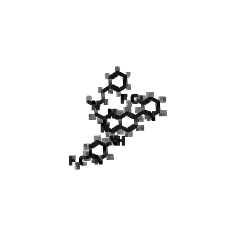 CN(CCc1ccccc1)Cc1nc(Nc2ccc(C(F)(F)F)nc2)c2ccc(-c3ncccc3C(F)(F)F)cc2n1